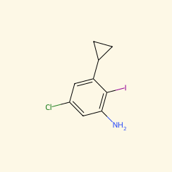 Nc1cc(Cl)cc(C2CC2)c1I